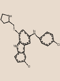 Clc1ccc(Nc2cc(OCC3CCCN3)c3[nH]c4ccc(Cl)cc4c3c2)cc1